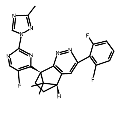 Cc1ncn(-c2ncc(F)c([C@@]34CC[C@@H](c5cc(-c6c(F)cccc6F)nnc53)C4(C)C)n2)n1